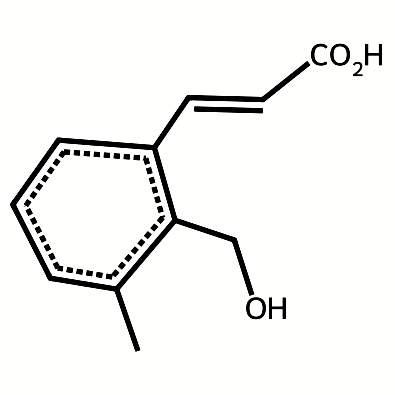 Cc1cccc(C=CC(=O)O)c1CO